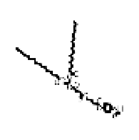 CCCCCCCCCCCCCCCC(=O)OCC(COC(=O)CCCCCCCCCCCCCCC)OC(=O)CCC(=O)OCCCC(=O)Oc1ccc(NC(C)=O)cc1